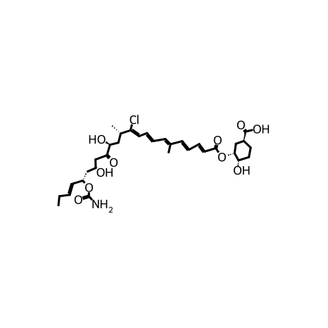 CC/C=C/[C@H](C[C@H](O)CC(=O)[C@@H](O)C[C@H](C)/C(Cl)=C/C=C/C=C(C)/C=C/C=C/C(=O)O[C@@H]1C[C@@H](C(=O)O)CC[C@@H]1O)OC(N)=O